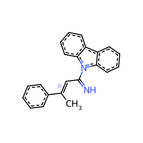 C/C(=C\C(=N)n1c2ccccc2c2ccccc21)c1ccccc1